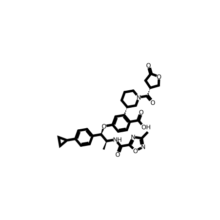 Cc1noc(C(=O)N[C@@H](C)[C@H](Oc2ccc(C(=O)O)c([C@@H]3CCCN(C(=O)[C@H]4COC(=O)C4)C3)c2)c2ccc(C3CC3)cc2)n1